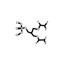 O=P(OCl)(OCl)OCC(COC(F)C(F)F)COC(F)C(F)F